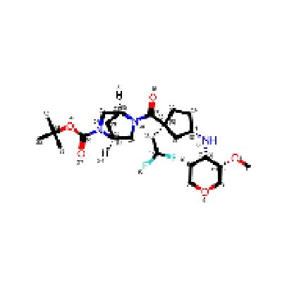 CO[C@@H]1COCC[C@@H]1N[C@H]1CC[C@](CC(F)F)(C(=O)N2C[C@@H]3C[C@H]2CN3C(=O)OC(C)(C)C)C1